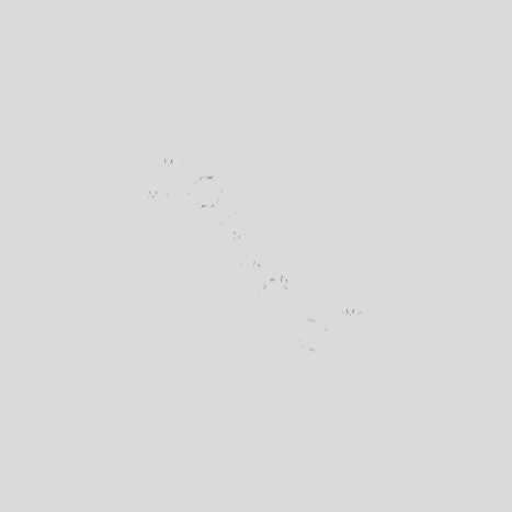 COc1ccccc1Cc1csc(N2CCN(S(=O)(=O)c3ccc(OC)c(OC)c3)CC2)n1